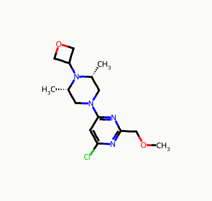 COCc1nc(Cl)cc(N2C[C@@H](C)N(C3COC3)[C@@H](C)C2)n1